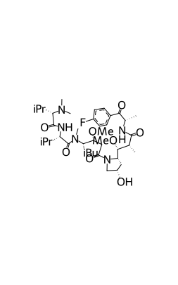 CCC(C)[C@@H]([C@@H](CC(=O)N1C[C@@H](O)C[C@H]1[C@H](OC)[C@@H](C)C(=O)N[C@@H](C)C(=O)c1ccc(F)cc1)OC)N(C)C(=O)[C@@H](NC(=O)[C@H](C(C)C)N(C)C)C(C)C